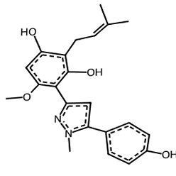 COc1cc(O)c(CC=C(C)C)c(O)c1-c1cc(-c2ccc(O)cc2)n(C)n1